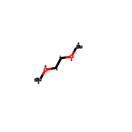 CCC(C)OCCOC(C)(C)C